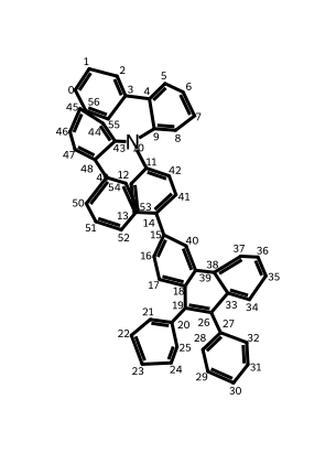 c1ccc(-c2ccccc2N(c2ccc(-c3ccc4c(-c5ccccc5)c(-c5ccccc5)c5ccccc5c4c3)cc2)c2ccccc2-c2ccccc2)cc1